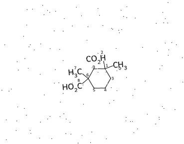 CC1(C(=O)O)CCCC(C)(C(=O)O)C1